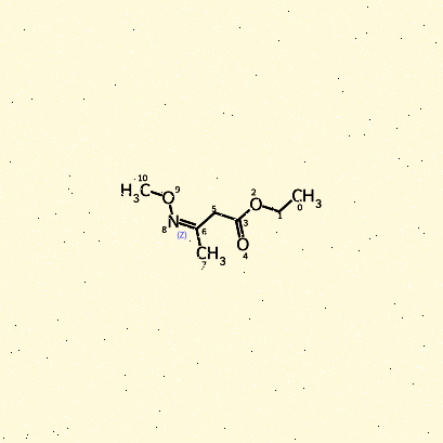 CCOC(=O)C/C(C)=N\OC